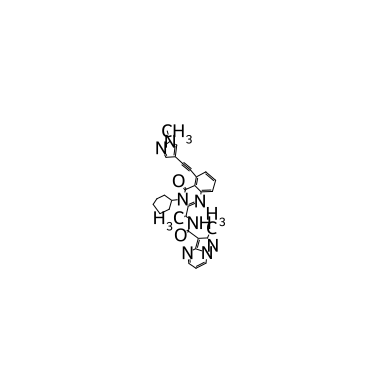 Cc1nn2cccnc2c1C(=O)N[C@H](C)c1nc2cccc(C#Cc3cnn(C)c3)c2c(=O)n1C1CCCCC1